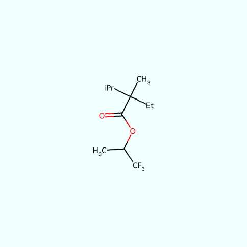 CCC(C)(C(=O)OC(C)C(F)(F)F)C(C)C